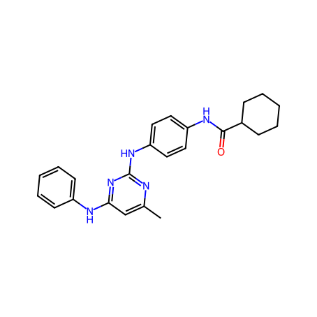 Cc1cc(Nc2ccccc2)nc(Nc2ccc(NC(=O)C3CCCCC3)cc2)n1